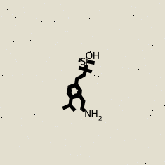 CC(C)c1ccc(CCC(C)(C)[Si](C)(C)O)cc1CCN